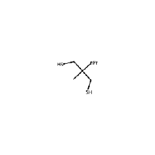 [CH2]CCC(C)(CS)CS